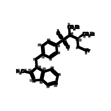 CCOC(=O)[C@H](CC(C)C)N(C(=O)OCC)S(=O)(=O)c1ccc(Cn2c(C)nc3cnccc32)cc1